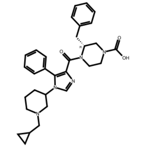 O=C(O)N1CCN(C(=O)c2ncn(C3CCCN(CC4CC4)C3)c2-c2ccccc2)[C@H](Cc2ccccc2)C1